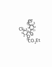 CCOC(=O)COc1ccc(Cl)cc1C(=O)c1cccc(SC(F)(F)F)c1